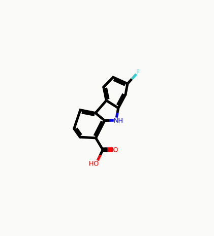 O=C(O)c1cccc2c1[nH]c1cc(F)ccc12